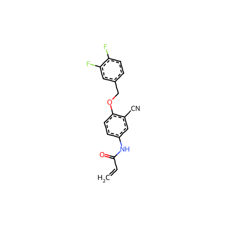 C=CC(=O)Nc1ccc(OCc2ccc(F)c(F)c2)c(C#N)c1